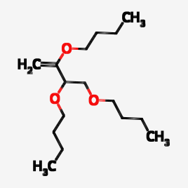 C=C(OCCCC)C(COCCCC)OCCCC